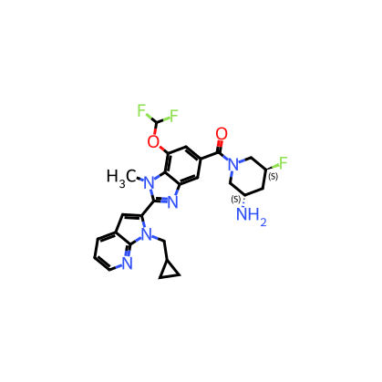 Cn1c(-c2cc3cccnc3n2CC2CC2)nc2cc(C(=O)N3C[C@@H](N)C[C@H](F)C3)cc(OC(F)F)c21